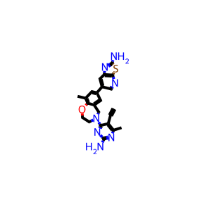 C#Cc1c(C)nc(N)nc1N1CCOc2c(C)cc(-c3cnc4sc(N)nc4c3)cc2C1